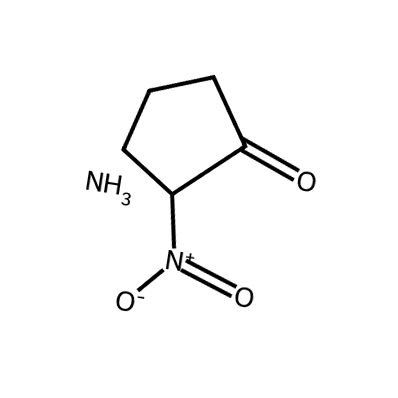 N.O=C1CCCC1[N+](=O)[O-]